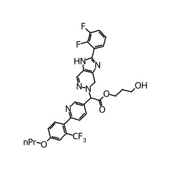 CCCOc1ccc(-c2ccc(C(C(=O)OCCCO)N3Cc4nc(-c5cccc(F)c5F)[nH]c4C=N3)cn2)c(C(F)(F)F)c1